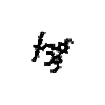 C[N+](C#P=O)(C#P=O)CCO.Nc1ccn([C@@H]2O[C@H](CO)[C@@H](O)[C@H]2O)c(=O)n1